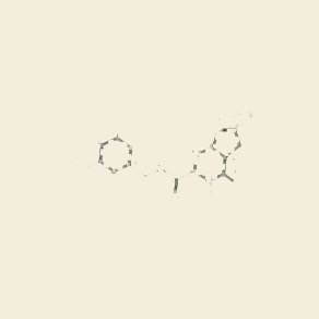 COc1cccc(CNC(=O)c2nc3sc(Br)cc3c(=O)[nH]2)c1